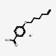 C=CCCCCOc1ccc(C(=O)O)cc1.Cl